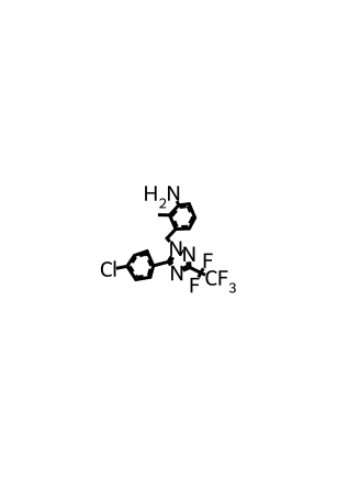 Cc1c(N)cccc1Cn1nc(C(F)(F)C(F)(F)F)nc1-c1ccc(Cl)cc1